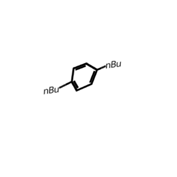 [CH2]CCCc1ccc(CCCC)cc1